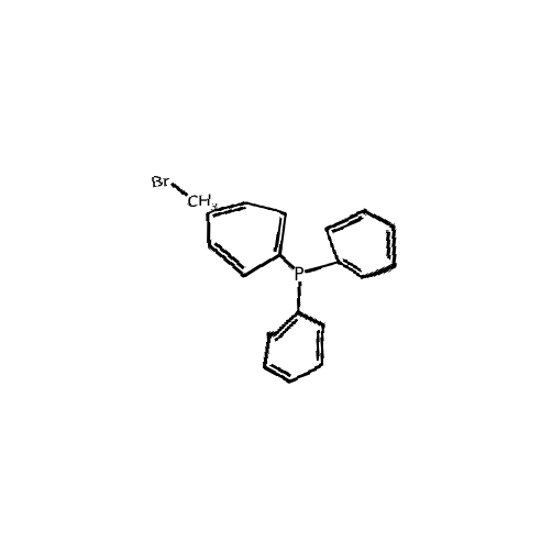 CBr.c1ccc(P(c2ccccc2)c2ccccc2)cc1